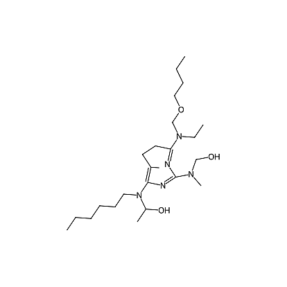 CCCCCCN(C1=C(/C)CC/C(N(CC)COCCCC)=N/C(N(C)CO)=N\1)C(C)O